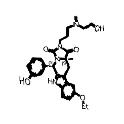 CCOc1ccc2[nH]c3c(c2c1)C[C@@]1(C)C(=O)N(CCCN(C)CCO)C(=O)N1[C@@H]3c1cccc(O)c1